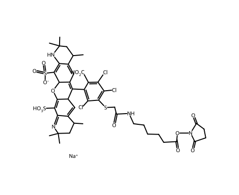 CC1CC(C)(C)N=C2C1=CC1C(=C2S(=O)(=O)O)OC2C(=C1c1c(Cl)c(SCC(=O)NCCCCCC(=O)ON3C(=O)CCC3=O)c(Cl)c(Cl)c1C(=O)O)C=C1C(=C2S(=O)(=O)[O-])NC(C)(C)CC1C.[Na+]